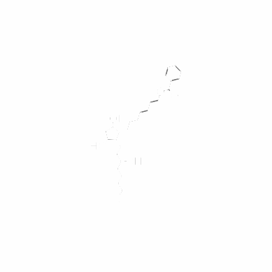 CCCCC[C@H](O)CC[C@@H]1[C@@H](CCC/C=C/C=C/OC(=O)c2ccccc2)[C@@H](O)C[C@H]1O